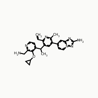 C=Cc1nc(C)c(-c2ccn3nc(N)nc3c2)cc1C(C)c1ccnc(CN)c1OC1CC1